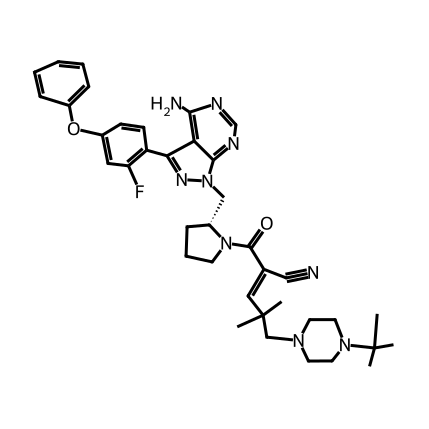 CC(C)(/C=C(\C#N)C(=O)N1CCC[C@@H]1Cn1nc(-c2ccc(Oc3ccccc3)cc2F)c2c(N)ncnc21)CN1CCN(C(C)(C)C)CC1